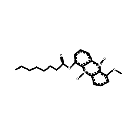 CCCCCCCC(=O)Oc1cccc2c1[n+]([O-])c1cccc(OC)c1[n+]2[O-]